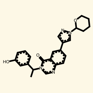 CC(c1cccc(O)c1)n1cnc2ccc(-c3cnn(C4CCCCO4)c3)cc2c1=O